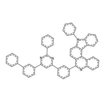 c1ccc(-c2cccc(-c3cc(-c4cccc(-c5nc6ccccc6c6c5ccc5c6c6ccccc6n5-c5ccccc5)c4)nc(-c4ccccc4)n3)c2)cc1